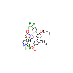 COc1ccc(-c2ccc(C(=O)O)cc2C)cc1-c1ccc(C(F)(F)F)cc1[C@@H]1CC[C@H]2[C@@H](c3ccnc(C(F)(F)F)c3)SC(=O)N12